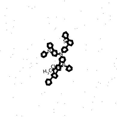 CC1(C)c2cc(-c3ccccc3)ccc2-c2cc3c(cc21)c1cc(N(c2ccc(-c4cccc5c4sc4ccccc45)cc2)c2ccc4c(c2)c2ccccc2n4-c2ccccc2)ccc1n3-c1ccccc1